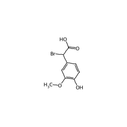 COc1cc(C(Br)C(=O)O)ccc1O